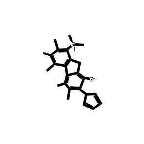 Cc1c(C)c2c(c([SiH](C)C)c1C)Cc1[c]([Zr])c(C3C=CC=C3)c(C)c(C)c1-2